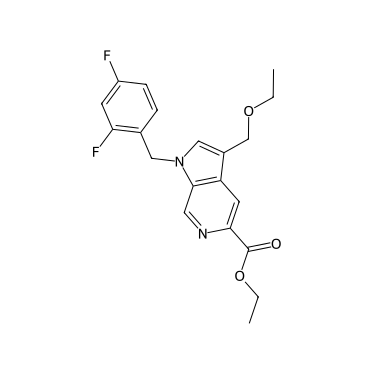 CCOCc1cn(Cc2ccc(F)cc2F)c2cnc(C(=O)OCC)cc12